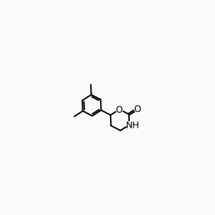 Cc1cc(C)cc(C2CCNC(=O)O2)c1